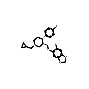 Fc1ccc([C@H]2CCN(CC3CC3)C[C@@H]2COc2cc3c(cc2Br)OCO3)cc1